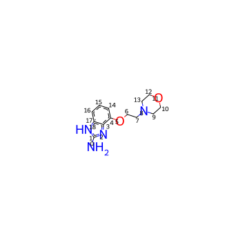 Nc1nc2c(OCCN3CCOCC3)cccc2[nH]1